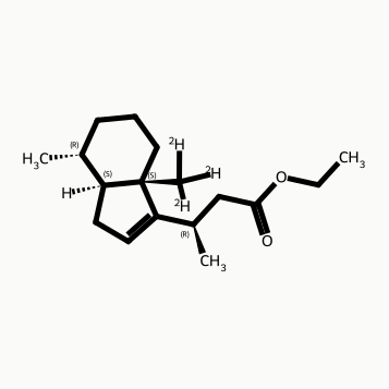 [2H]C([2H])([2H])[C@]12CCC[C@@H](C)[C@@H]1CC=C2[C@H](C)CC(=O)OCC